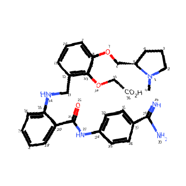 CN1CCC[C@@H]1COc1cccc(CNc2ccccc2C(=O)Nc2ccc(C(=N)N)cc2)c1OCC(=O)O